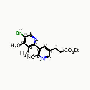 CCOC(=O)CCc1cnc(C#N)c(-c2ncc(Br)c(C)c2C)c1